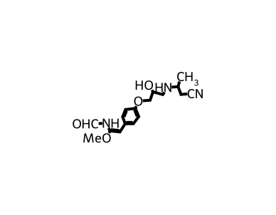 COC(=Cc1ccc(OCC(O)CNC(C)CC#N)cc1)NC=O